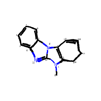 Cn1c2c(n3c4ccccc4nc13)C=CCC2